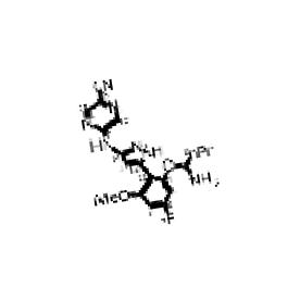 CCCC(N)Oc1cc(F)cc(OC)c1-c1cc(Nc2cnc(C#N)cn2)n[nH]1